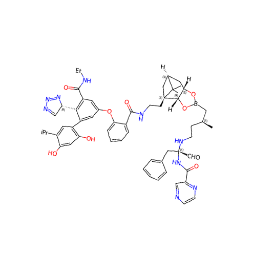 CCNC(=O)c1cc(Oc2ccccc2C(=O)NCC[C@]23C[C@@H](C[C@@H]4OB(C[C@@H](C)CCN[C@@](C=O)(Cc5ccccc5)NC(=O)c5cnccn5)O[C@@H]42)C3(C)C)cc(-c2cc(C(C)C)c(O)cc2O)c1[C@@H]1C=NN=N1